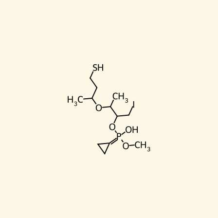 COP(O)(OC(CI)C(C)OC(C)CCS)=C1CC1